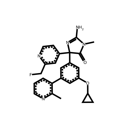 Cc1ncccc1-c1cc(OC2CC2)cc(C2(c3ccnc(CF)c3)N=C(N)N(C)C2=O)c1